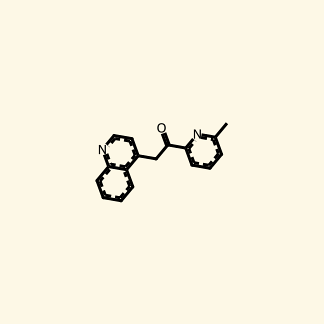 Cc1cccc(C(=O)Cc2ccnc3ccccc23)n1